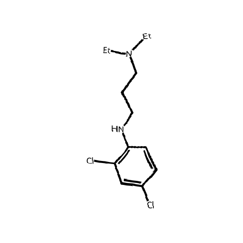 CCN(CC)CCCNc1ccc(Cl)cc1Cl